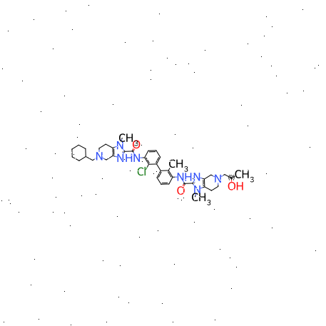 Cc1c(NC(=O)c2nc3c(n2C)CCN(C[C@@H](C)O)C3)cccc1-c1cccc(NC(=O)c2nc3c(n2C)CCN(CC2CCCCC2)C3)c1Cl